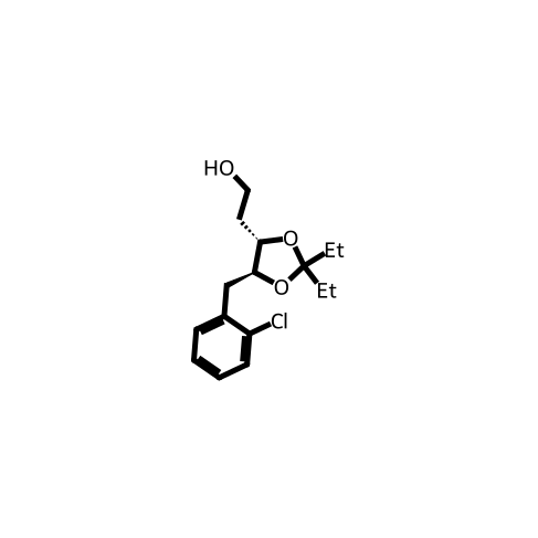 CCC1(CC)O[C@@H](CCO)[C@H](Cc2ccccc2Cl)O1